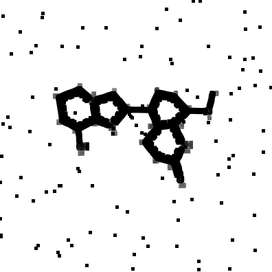 COc1ccc(-c2cn3cccc(O)c3n2)c2ccc(=O)[nH]c12